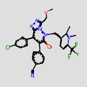 COCc1nnc2c(-c3ccc(Cl)cc3)c(-c3ccc(C#N)cc3)c(=O)n(CC3=CC=C(C(F)(F)F)N(C)C3C)n12